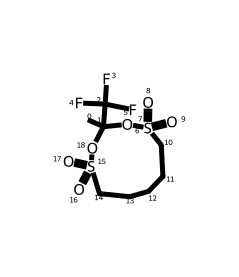 CC1(C(F)(F)F)OS(=O)(=O)CCCCCS(=O)(=O)O1